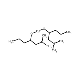 CCCC(CN(C)C)[O][Cu][O]C(CCC)CN(C)C